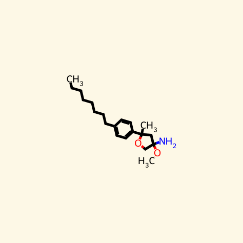 CCCCCCCCc1ccc(C2(C)CC(N)(OC)CO2)cc1